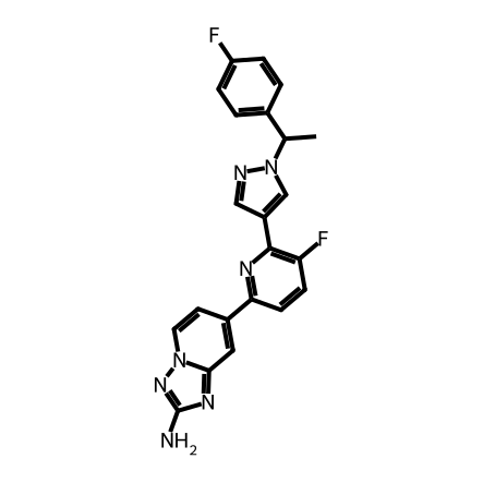 CC(c1ccc(F)cc1)n1cc(-c2nc(-c3ccn4nc(N)nc4c3)ccc2F)cn1